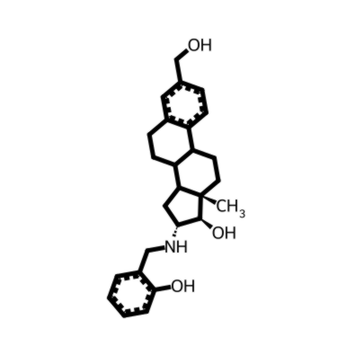 C[C@]12CCC3c4ccc(CO)cc4CCC3C1C[C@@H](NCc1ccccc1O)[C@@H]2O